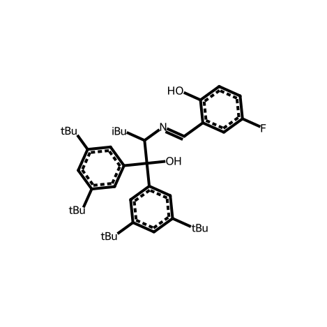 CCC(C)C(N=Cc1cc(F)ccc1O)C(O)(c1cc(C(C)(C)C)cc(C(C)(C)C)c1)c1cc(C(C)(C)C)cc(C(C)(C)C)c1